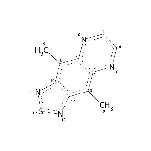 Cc1c2nccnc2c(C)c2nsnc12